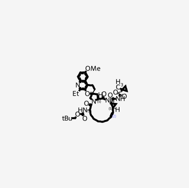 CCc1nc2ccc(OC)cc2c2c1O[C@]1(CC2)C[C@H]2C(=O)N[C@]3(C(=O)NS(=O)(=O)C4(C)CC4)C[C@H]3/C=C\CCCCC[C@H](NC(=O)OCC(C)(C)C)C(=O)N2C1